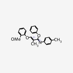 COc1ccccc1O/C=C(C)/C(=N/c1ccc(C)cc1)Oc1ccccc1